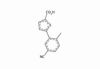 Cc1ccc(C#N)cc1-c1ccc(C(=O)O)s1